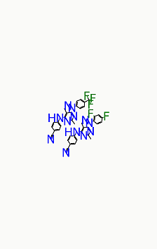 Cc1nc(Nc2ccc(C#N)cc2)c2cnn(-c3ccc(C(F)(F)F)cc3)c2n1.Cc1nc(Nc2ccc(C#N)cc2)c2cnn(-c3ccc(F)cc3F)c2n1